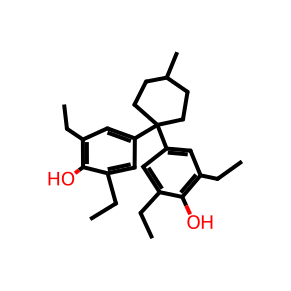 CCc1cc(C2(c3cc(CC)c(O)c(CC)c3)CCC(C)CC2)cc(CC)c1O